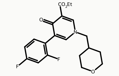 CCOC(=O)c1cn(CC2CCOCC2)cc(-c2ccc(F)cc2F)c1=O